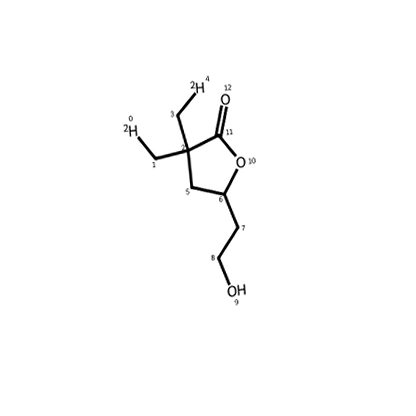 [2H]CC1(C[2H])CC(CCO)OC1=O